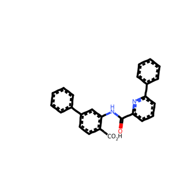 O=C(Nc1cc(-c2ccccc2)ccc1C(=O)O)c1cccc(-c2ccccc2)n1